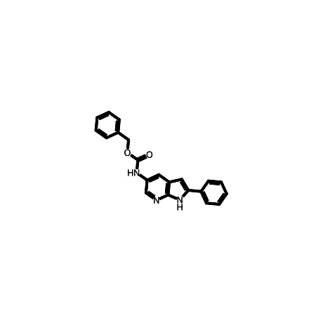 O=C(Nc1cnc2[nH]c(-c3ccccc3)cc2c1)OCc1ccccc1